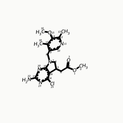 COC(=O)CC1CN(Cc2cnc(C)c(OC)c2C)c2nc(N)nc(Cl)c21